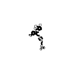 COc1ccc2c(c1)c(CCN1CCN(CCCO[N+](=O)[O-])CC1)c(C)n2C(=O)c1cccc(Cl)c1Cl